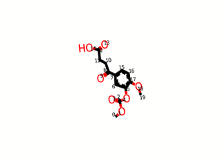 COC(=O)Oc1cc(C(=O)CCC(=O)O)ccc1OC